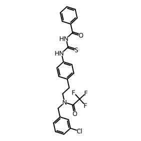 O=C(NC(=S)Nc1ccc(CCN(Cc2cccc(Cl)c2)C(=O)C(F)(F)F)cc1)c1ccccc1